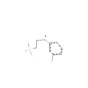 CC[C@@H](c1cccc(O)c1)[C@@H](C)C[N+](C)(C)C(C)C